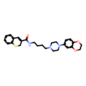 O=C(NCCCCN1CCN(c2ccc3c(c2)OCCO3)CC1)C1=Cc2ccccc2SC1